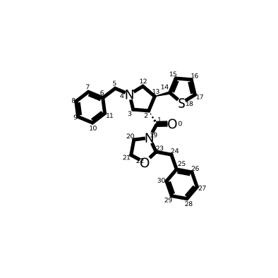 O=C([C@@H]1CN(Cc2ccccc2)C[C@H]1c1cccs1)N1CCOC1Cc1ccccc1